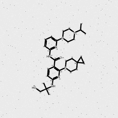 CC(C)N1CCN(c2cccc(NC(=O)c3ccc(NC(C)(C)CO)nc3N3CCC4(CC3)CC4)n2)CC1